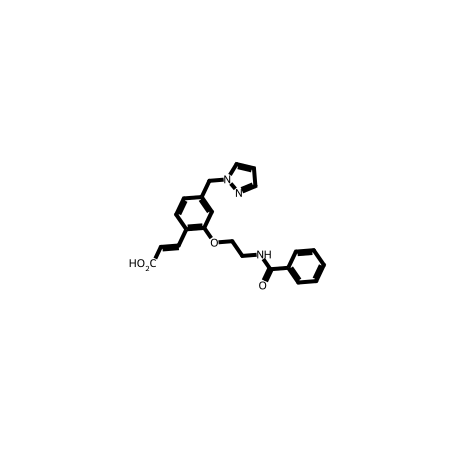 O=C(O)/C=C/c1ccc(Cn2cccn2)cc1OCCNC(=O)c1ccccc1